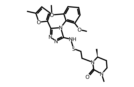 COc1cccc(OC)c1-n1c(NSCCN2C(=O)N(C)CC[C@@H]2C)nnc1-c1ccc(C)o1